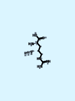 N=C(N)NCCC[C@H](N)C(=O)O.[H+].[H+].[S-2]